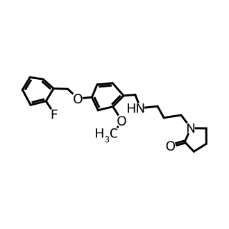 COc1cc(OCc2ccccc2F)ccc1CNCCCN1CCCC1=O